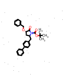 CC(C)(C)OC(=O)N1C(=O)[C@@H](OCc2ccccc2)CC1Cc1ccc(-c2ccccc2)cc1